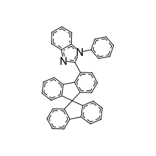 c1ccc(-n2c(-c3cccc4c3-c3ccccc3C43c4ccccc4-c4ccccc43)nc3ccccc32)cc1